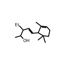 CCC(/C=C/C1C(C)=CCCC1(C)C)C(C)O